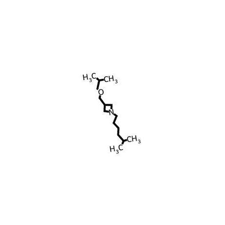 CC(C)CCCCN1CC(COCC(C)C)C1